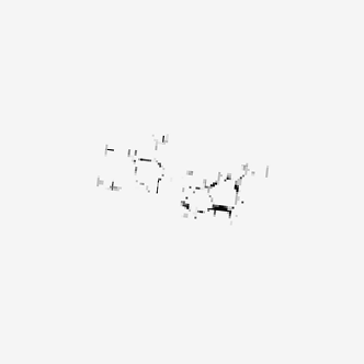 Nc1nc(Cl)c2ncn(O[C@@H]3O[C@H](CO)[C@@H](O)[C@H]3O)c2n1